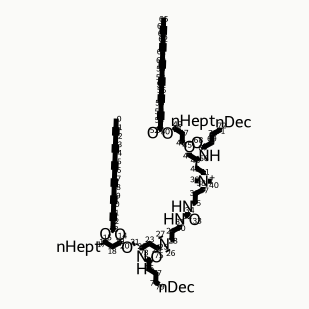 CC#CC#CC#CC#CC#CC#CC(=O)O[C@H](CCCCCCC)CCOC[C@H](CC[N+](C)(C)CCCNC(=O)NCCC[N+](C)(C)CC[C@@H](COCC[C@@H](CCCCCCC)OC(=O)C#CC#CC#CC#CC#CC#CC)NC(=O)CCCCCCCCCCCCC)NC(=O)CCCCCCCCCCCCC